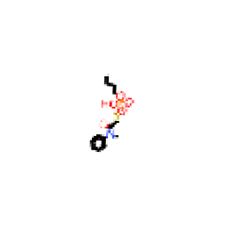 CCCCOP(=O)(O)OSCC(=O)N(C)c1ccccc1